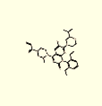 C=CC(=O)N1CCN(c2nc(=O)n(-c3c(CC)cccc3CC)c3nc(N4CCOC(C(C)C)C4)c(Cl)cc23)C(C)C1